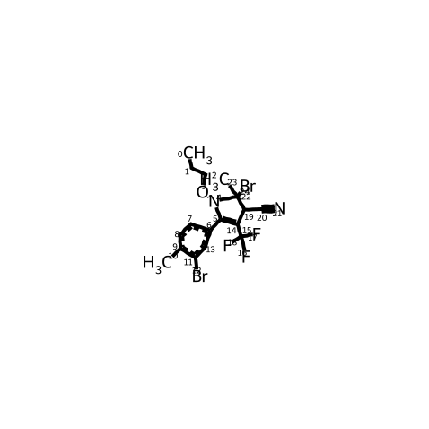 CCCON1C(c2ccc(C)c(Br)c2)=C(C(F)(F)F)C(C#N)C1(C)Br